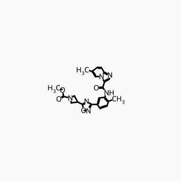 COC(=O)N1CC(c2nc(-c3ccc(C)c(NC(=O)c4cnc5ccc(C)cn45)c3)no2)C1